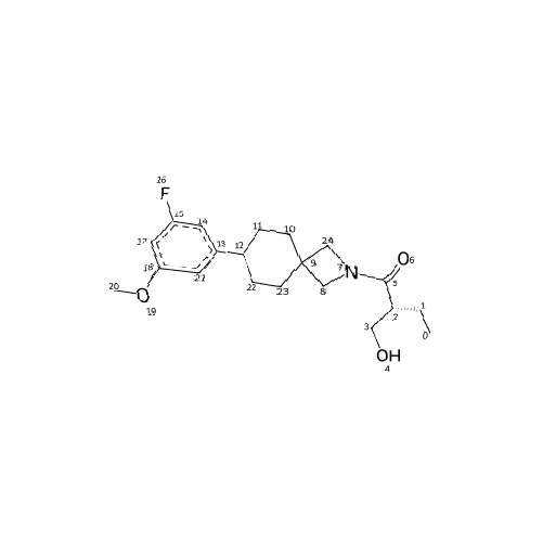 CC[C@H](CO)C(=O)N1CC2(CCC(c3cc(F)cc(OC)c3)CC2)C1